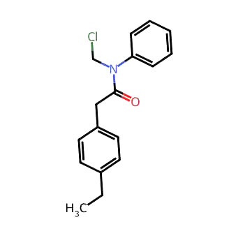 CCc1ccc(CC(=O)N(CCl)c2ccccc2)cc1